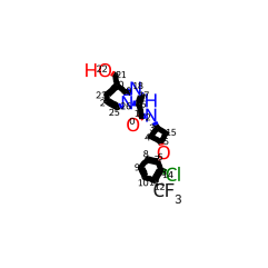 O=C(NC1CC(Oc2cccc(C(F)(F)F)c2Cl)C1)c1cnc2c(CO)cccn12